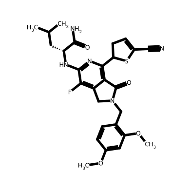 COc1ccc(CN2Cc3c(F)c(N[C@H](CC(C)C)C(N)=O)nc(C4CC=C(C#N)S4)c3C2=O)c(OC)c1